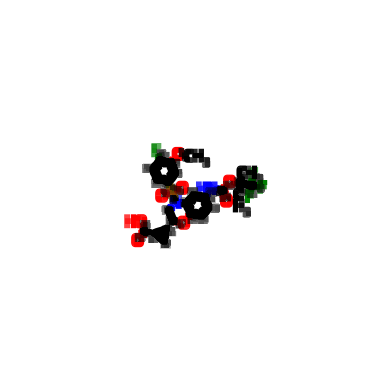 COc1cc(S(=O)(=O)N2CC([C@@H]3C[C@H]3C(=O)O)Oc3ccc(NC(=O)OC(C)(C)C(F)(F)F)cc32)ccc1F